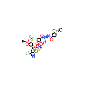 O=Cc1cccc(C(=O)NCCNC(=O)c2cccc(S(=O)(=O)N3CCS[C@H]3C(=O)O[C@@H](Cc3c(Cl)cncc3Cl)c3ccc(OC(F)F)c(OCC4CC4)c3)c2)c1